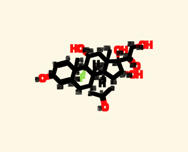 CC(C)=O.C[C@]12C=CC(=O)C=C1CC[C@H]1[C@@H]3C[C@@H](O)[C@](O)(C(=O)CO)[C@@]3(C)C[C@H](O)[C@@]12F